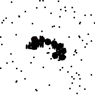 CC(=O)C(NC(=O)O)(NC(C)c1ncc(-c2ccc(-c3ccc(-c4cnc([C@@H]5CCCN5C(=O)[C@@H](c5ccccc5)N5CCCCC5)[nH]4)cc3)cc2)[nH]1)c1ccccc1